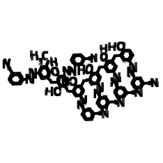 CCc1cc(N=Nc2cccc(C#N)c2)cc(Cc2cc(N=Nc3cccc(C#N)c3)cc(Cc3cc(N=Nc4cccc(C#N)c4)cc(Cc4cc(N=Nc5cccc(C#N)c5)cc(Cc5cc(N=Nc6cccc(C#N)c6)cc(Cc6cc(N=Nc7cccc(C#N)c7)ccc6O)c5O)c4O)c3O)c2O)c1O